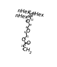 C=CC(=O)OCCOCCOC[Si](CCCCCC)(CCCCCC)CCCCCC